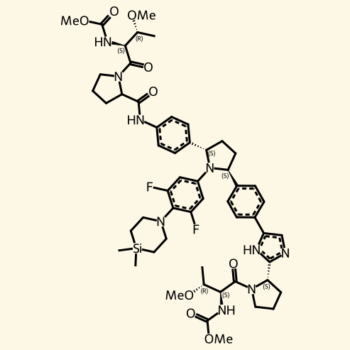 COC(=O)N[C@H](C(=O)N1CCCC1C(=O)Nc1ccc([C@@H]2CC[C@@H](c3ccc(-c4cnc([C@@H]5CCCN5C(=O)[C@@H](NC(=O)OC)[C@@H](C)OC)[nH]4)cc3)N2c2cc(F)c(N3CC[Si](C)(C)CC3)c(F)c2)cc1)[C@@H](C)OC